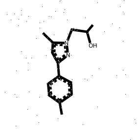 Cc1[c]cc(-c2cc(C)n(CC(C)O)n2)cc1